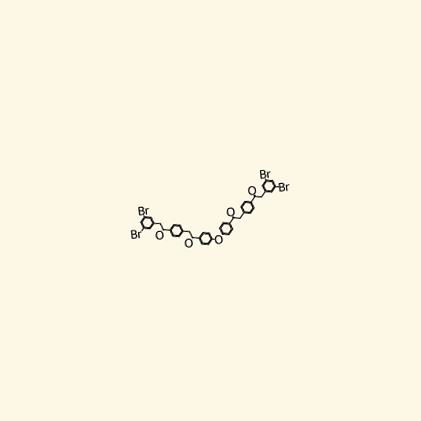 O=C(Cc1ccc(C(=O)Cc2cc(Br)cc(Br)c2)cc1)c1ccc(Oc2ccc(C(=O)Cc3ccc(C(=O)Cc4cc(Br)cc(Br)c4)cc3)cc2)cc1